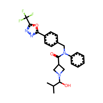 CC(C)C(O)N1CC(C(=O)N(Cc2ccc(-c3nnc(C(F)(F)F)o3)cc2)c2ccccc2)C1